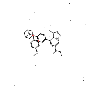 CCN(C)c1cc(-c2ccc(N3CC4CC(C3)N4Cc3ccc(OC)nc3)nc2)c2c(C)cnn2c1